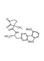 COc1cccc(OC)c1-c1ccc(C[C@H](NC(=O)C2(C)SCC(=O)C2=O)C(=O)O)cc1